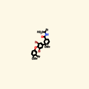 CCC(NC(=O)C1=CC=CC(OC)(c2cc(Br)c(Oc3ccc(OC)c(C(C)C)c3)c(Br)c2)C1)C(=O)O